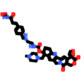 CC[C@@]1(O)C(=O)OCc2c1cc1n(c2=O)Cc2cc3c(CN4CCN(C)CC4)c(OC(=O)NCCNCc4ccc(/C=C/C(=O)NO)cc4)ccc3nc2-1